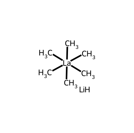 [CH3][La]([CH3])([CH3])([CH3])([CH3])[CH3].[LiH]